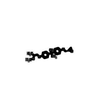 COC(C)COc1ccc(C(C)(C)c2ccc(OC[C@@H]3CO3)cc2)cc1